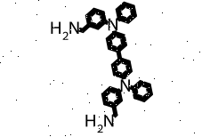 NCc1cccc(N(c2ccccc2)c2ccc(-c3ccc(N(c4ccccc4)c4cccc(CN)c4)cc3)cc2)c1